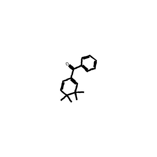 CC1(C)C=CC(C(=O)c2ccccc2)=CC1(C)C